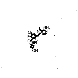 Cc1nc(Cc2cc(Cl)c(F)c(C(=O)N[C@]3(C)C[C@@H](O)C3)c2OC(C)C)n2ccnc(N)c12